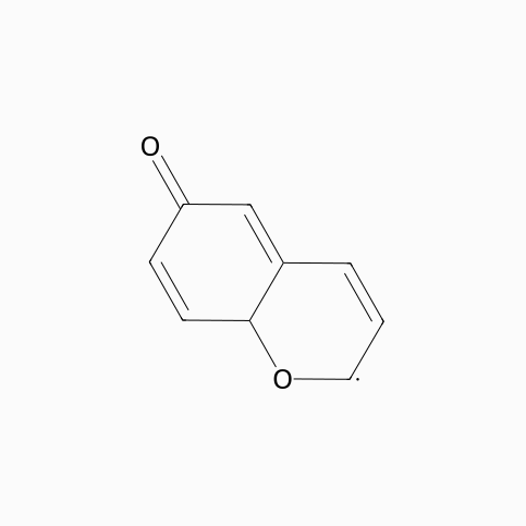 O=C1C=CC2O[CH]C=CC2=C1